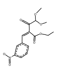 CCOC(=O)C(=Cc1cccc([N+](=O)[O-])c1)C(=O)C(OC)OC